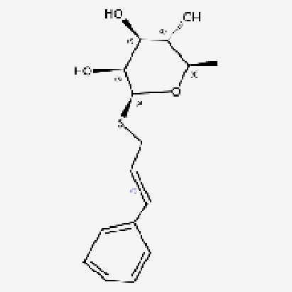 C[C@H]1O[C@@H](SC/C=C/c2ccccc2)[C@@H](O)[C@@H](O)[C@@H]1O